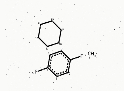 Fc1[c]cc(F)cc1.[CH3].[CH]1CCCCC1